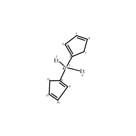 C[CH2][Zr]([CH2]C)([C]1=CC=CC1)[C]1=CC=CC1